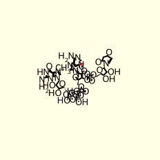 C[n+]1cn([C@@H]2O[C@H](COP(=O)(O)OP(=O)(O)OP(=O)(O)OC[C@H]3O[C@@H](n4cnc5c(N)ncnc54)[C@@H](OC(F)(F)F)C3OP(=O)(O)OC[C@H]3O[C@@H](N4C=CC(=O)CC4=O)[C@@H](O)C3O)[C@H](O)C2O)c2nc(N)[nH]c(=O)c21